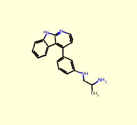 CC(N)CNc1cccc(-c2ccnc3[nH]c4ccccc4c23)c1